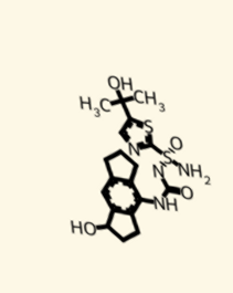 CC(C)(O)c1cnc(S(N)(=O)=NC(=O)Nc2c3c(cc4c2CCC4O)CCC3)s1